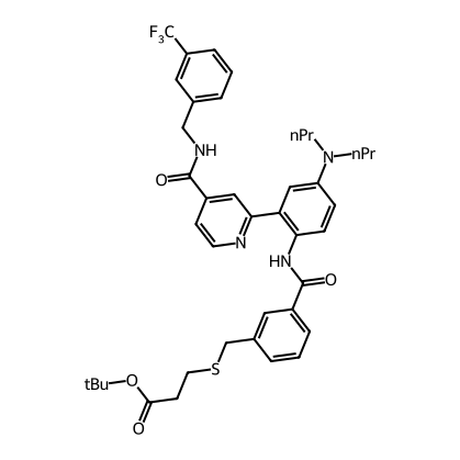 CCCN(CCC)c1ccc(NC(=O)c2cccc(CSCCC(=O)OC(C)(C)C)c2)c(-c2cc(C(=O)NCc3cccc(C(F)(F)F)c3)ccn2)c1